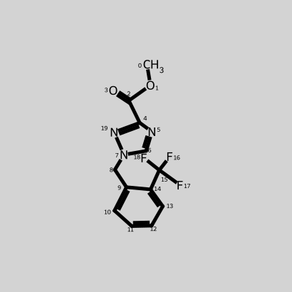 COC(=O)c1ncn(Cc2ccccc2C(F)(F)F)n1